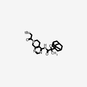 CC(C)(C)CC(=O)N1CCc2c(ncnc2NC(=O)C(C)(C)C23CC4CC(CC(C4)C2)C3)C1